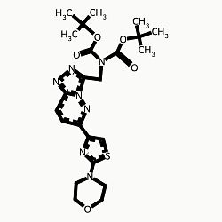 CC(C)(C)OC(=O)N(Cc1nnc2ccc(-c3csc(N4CCOCC4)n3)nn12)C(=O)OC(C)(C)C